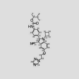 CC(C)C(C)OC(=O)Nc1ccc(-c2c(C#N)c3cc(OCCn4cncn4)ccc3n2C2CCC2)cc1